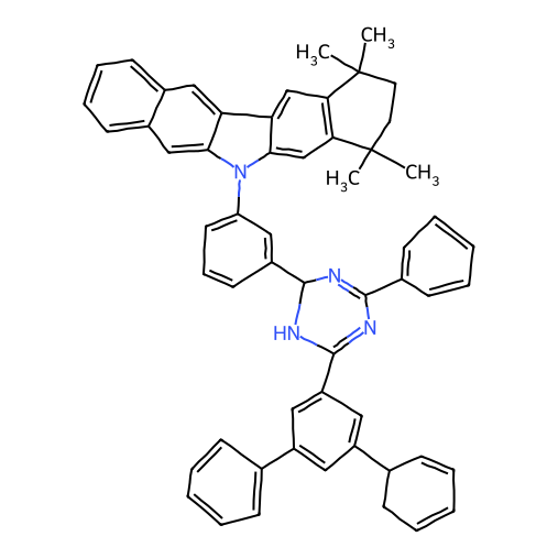 CC1(C)CCC(C)(C)c2cc3c(cc21)c1cc2ccccc2cc1n3-c1cccc(C2N=C(c3ccccc3)N=C(c3cc(-c4ccccc4)cc(C4C=CC=CC4)c3)N2)c1